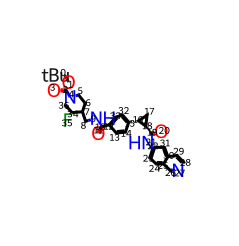 CC(C)(C)OC(=O)N1CCC(CNC(=O)c2ccc([C@@H]3C[C@H]3C(=O)Nc3ccc4cnccc4c3)cc2)C(F)C1